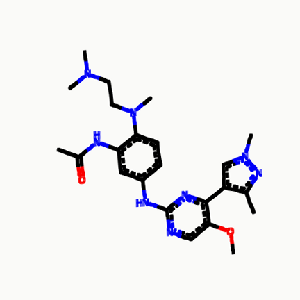 COc1cnc(Nc2ccc(N(C)CCN(C)C)c(NC(C)=O)c2)nc1-c1cn(C)nc1C